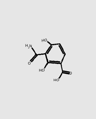 NC(=O)c1c(O)ccc(C(=O)O)c1O